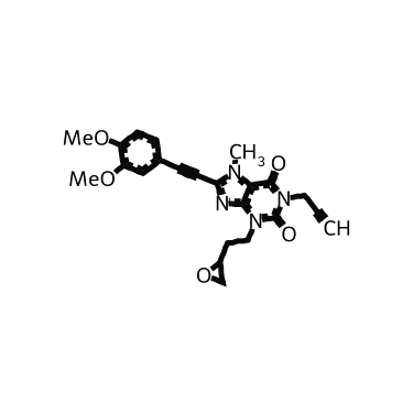 C#CCn1c(=O)c2c(nc(C#Cc3ccc(OC)c(OC)c3)n2C)n(CCC2CO2)c1=O